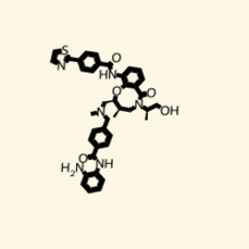 C[C@@H]1CN([C@H](C)CO)C(=O)c2cccc(NC(=O)c3ccc(-c4nccs4)cc3)c2O[C@@H]1CN(C)Cc1ccc(C(=O)Nc2ccccc2N)cc1